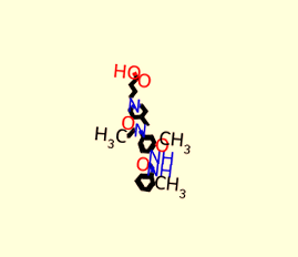 CCC(=O)N(CC1CCN(CCCC(=O)O)CC1)c1ccc(NC(=O)Nc2ccccc2C)c(OC)c1